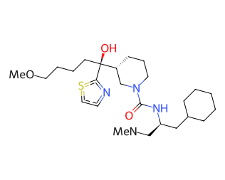 CNC[C@H](CC1CCCCC1)NC(=O)N1CCC[C@@H]([C@@](O)(CCCCOC)c2nccs2)C1